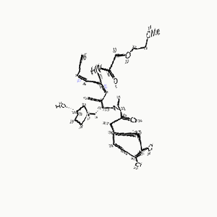 C=C(/C=C(\C=C/C)NC(=O)COCCOC)[C@@H](CN1CC[C@H](O)C1)N(C)C(=O)Cc1ccc(Cl)c(Cl)c1